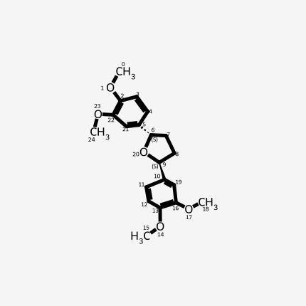 COc1ccc([C@@H]2CC[C@@H](c3ccc(OC)c(OC)c3)O2)cc1OC